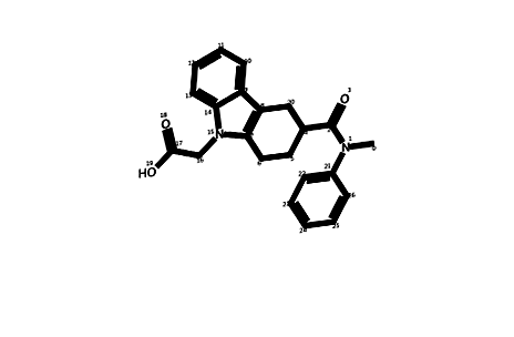 CN(C(=O)C1CCc2c(c3ccccc3n2CC(=O)O)C1)c1ccccc1